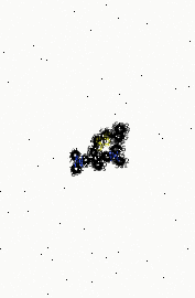 c1ccc(N(c2ccccc2)c2ccc(-c3c4ccccc4c(-c4ccc(N(c5ccccc5)c5ccccc5)cc4)c4cc(-c5ccc(-c6ccc(-c7cccc8ccccc78)s6)s5)ccc34)cc2)cc1